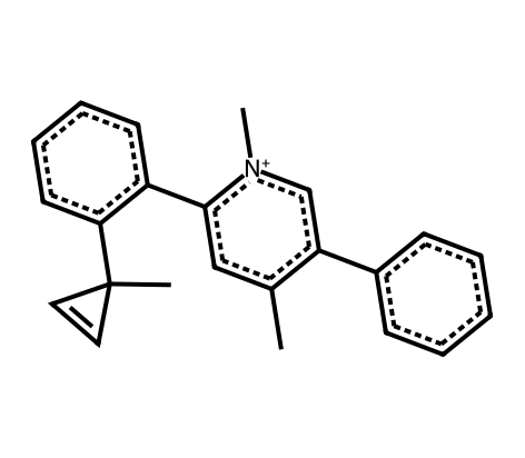 Cc1cc(-c2ccccc2C2(C)C=C2)[n+](C)cc1-c1ccccc1